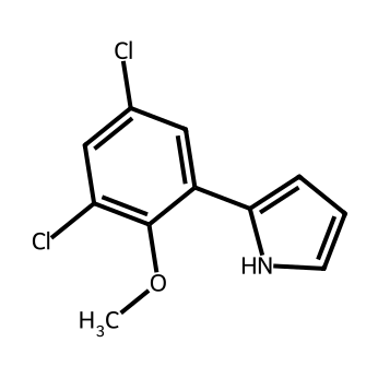 COc1c(Cl)cc(Cl)cc1-c1ccc[nH]1